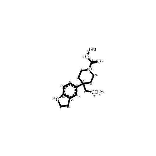 CC(C)(C)OC(=O)N1CCC(CC(=O)O)(c2ccc3c(c2)CCO3)CC1